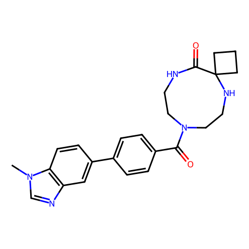 Cn1cnc2cc(-c3ccc(C(=O)N4CCNC(=O)C5(CCC5)NCC4)cc3)ccc21